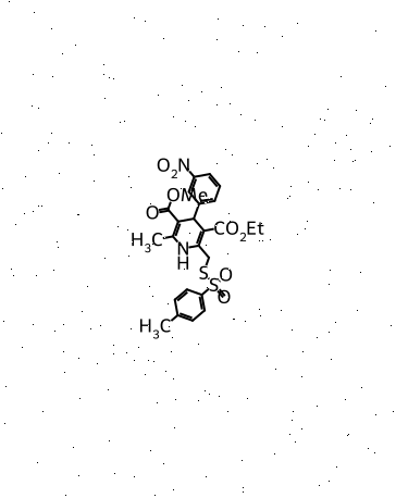 CCOC(=O)C1=C(CSS(=O)(=O)c2ccc(C)cc2)NC(C)=C(C(=O)OC)C1c1cccc([N+](=O)[O-])c1